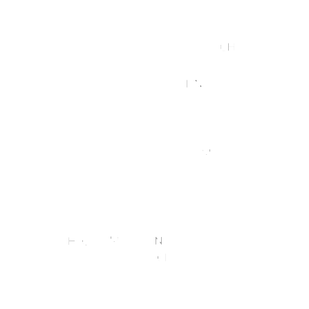 CCCNC1CCC(OCCCCCCN(C)CCOCC)CC1